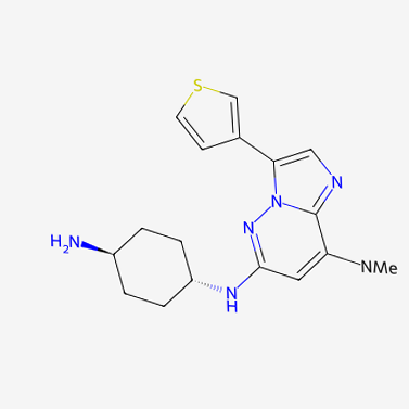 CNc1cc(N[C@H]2CC[C@H](N)CC2)nn2c(-c3ccsc3)cnc12